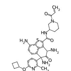 C=CC(=O)N1CCCC(NC(=O)c2sc3c(N)ccc4c3c2C(N)C(=O)C4(N)c2ccc(OC3CCC3)nc2C)C1